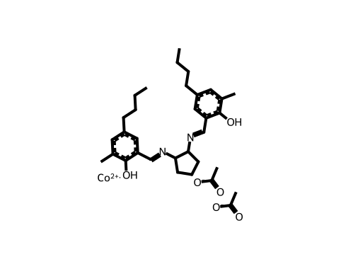 CC(=O)[O-].CC(=O)[O-].CCCCc1cc(C)c(O)c(C=NC2CCCC2N=Cc2cc(CCCC)cc(C)c2O)c1.[Co+2]